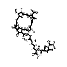 CC[C@@H]1C2Cc3[nH]c4c(c3C)C(=O)C(C(=O)OC)/C4=C3N=C(/C=c4\[nH]/c(c(C(C)=O)c4C)=C\C(=N2)[C@H]1C)[C@H](C)[C@H]/3CCC(=O)NCCCC(NC(=O)c1cn2c(=O)n(C)nnc2n1)C(=O)O